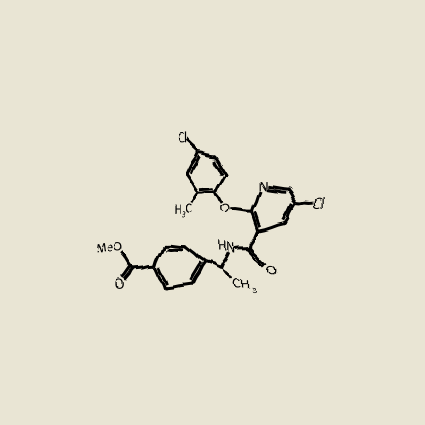 COC(=O)c1ccc([C@H](C)NC(=O)c2cc(Cl)cnc2Oc2ccc(Cl)cc2C)cc1